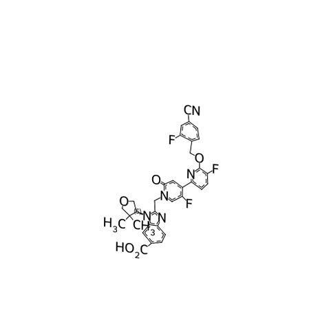 CC1(C)COC[C@H]1n1c(Cn2cc(F)c(-c3ccc(F)c(OCc4ccc(C#N)cc4F)n3)cc2=O)nc2ccc(C(=O)O)cc21